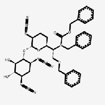 [N-]=[N+]=NC1CC[C@@H]([C@@H](COCc2ccccc2)N(Cc2ccccc2)C(=O)OCc2ccccc2)O[C@@H]1O[C@H]1[C@H](O)[C@@H](O)[C@H](N=[N+]=[N-])C[C@@H]1N=[N+]=[N-]